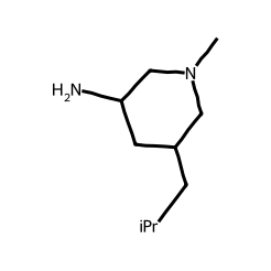 CC(C)CC1CC(N)CN(C)C1